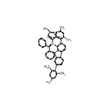 CCC1C=C(C(C)(C)C)C=[C]1[Zr](=[C](c1ccccc1)c1ccccc1)[c]1c(-c2c(C)cc(C)cc2C)ccc2c1Cc1cc(-c3c(C)cc(C)cc3C)ccc1-2